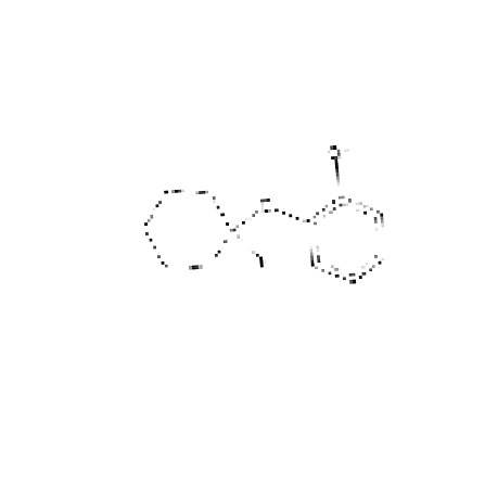 Oc1ccccc1OC1(F)CCCCC1